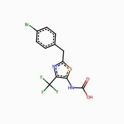 O=C(O)Nc1sc(Cc2ccc(Br)cc2)nc1C(F)(F)F